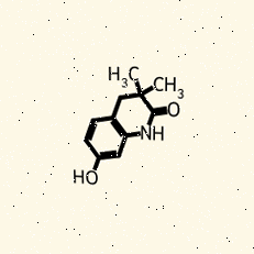 CC1(C)Cc2ccc(O)cc2NC1=O